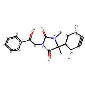 C[C@@H]1C#C[C@H](C)C(C2(C)C(=O)N(CC(=O)c3ccccc3)C(=O)N2C)C1